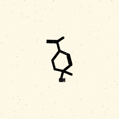 C=C(C)C1C=CC(C)(O)CC1